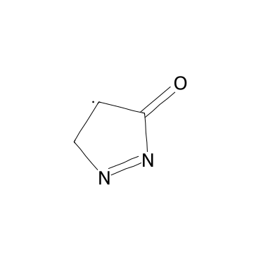 O=C1[CH]CN=N1